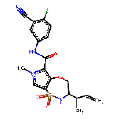 C=CC(C)C1COc2c(cn(C)c2C(=O)Nc2ccc(F)c(C#N)c2)S(=O)(=O)N1